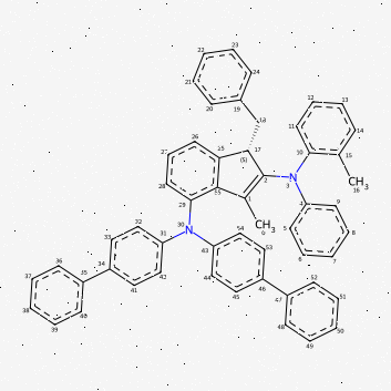 CC1=C(N(c2ccccc2)c2ccccc2C)[C@@H](Cc2ccccc2)c2cccc(N(c3ccc(-c4ccccc4)cc3)c3ccc(-c4ccccc4)cc3)c21